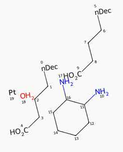 CCCCCCCCCCCCCC(=O)O.CCCCCCCCCCCCCC(=O)O.NC1CCCCC1N.O.[Pt]